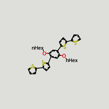 CCCCCCOc1cc(-c2ccc(-c3cccs3)s2)c(OCCCCCC)cc1-c1ccc(-c2cccs2)s1